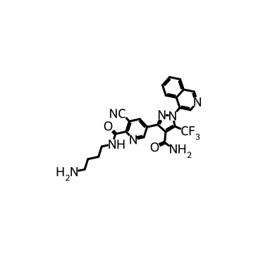 N#Cc1cc(-c2nn(-c3cncc4ccccc34)c(C(F)(F)F)c2C(N)=O)cnc1C(=O)NCCCCN